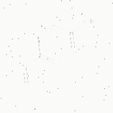 O=NC(=O)/C=C\C(=O)O